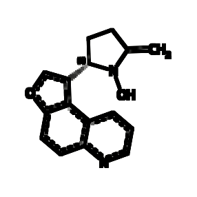 C=C1CC[C@@H](c2coc3ccc4ncccc4c23)N1O